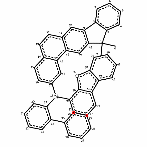 CC1(C)c2ccccc2-c2cc3ccc4ccc(N(c5ccccc5-c5ccccc5)c5cccc6c5oc5ccccc56)cc4c3cc21